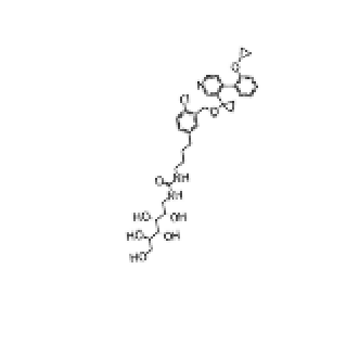 O=C(NCCCCc1ccc(Cl)c(COC2(c3cnccc3-c3ccccc3OC3CC3)CC2)c1)NC[C@H](O)[C@@H](O)[C@H](O)[C@H](O)CO